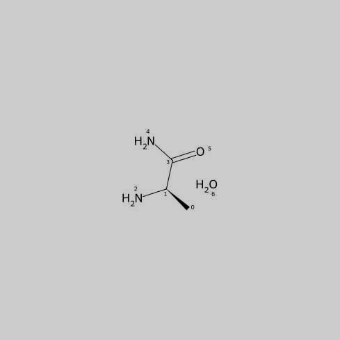 C[C@@H](N)C(N)=O.O